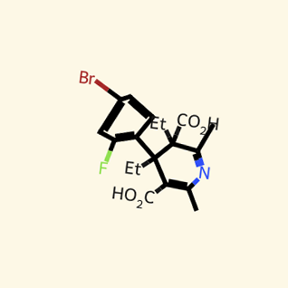 CCC1(C(=O)O)C(C)=NC(C)=C(C(=O)O)C1(CC)c1ccc(Br)cc1F